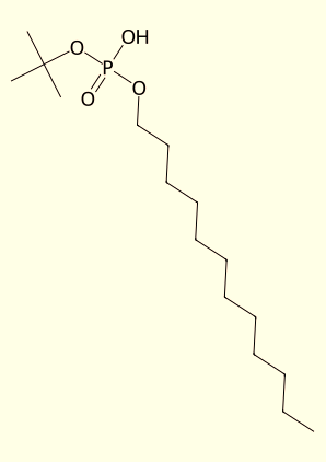 CCCCCCCCCCCCOP(=O)(O)OC(C)(C)C